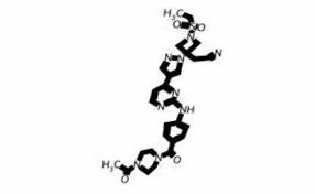 CCS(=O)(=O)N1CC(CC#N)(n2cc(-c3ccnc(Nc4ccc(C(=O)N5CCN(C(C)=O)CC5)cc4)n3)cn2)C1